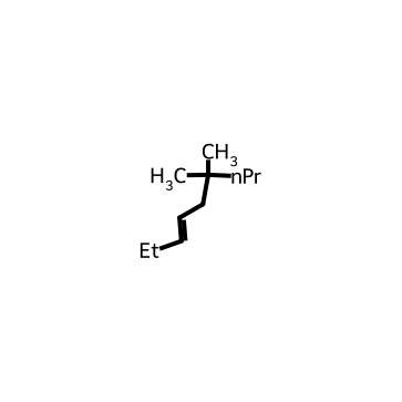 [CH2]CCC(C)(C)CC=CCC